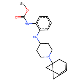 CC(C)(C)OC(=O)Nc1ccccc1NC1CCN(C23CC=C=C4CC42C3)CC1